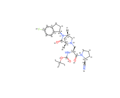 CC(C)(C)OC(=O)N[C@@H](CN1C[C@@H]2C[C@H]1C(=O)N2[C@@H]1CCc2cc(F)ccc21)C(=O)N1CCC[C@H]1C#N